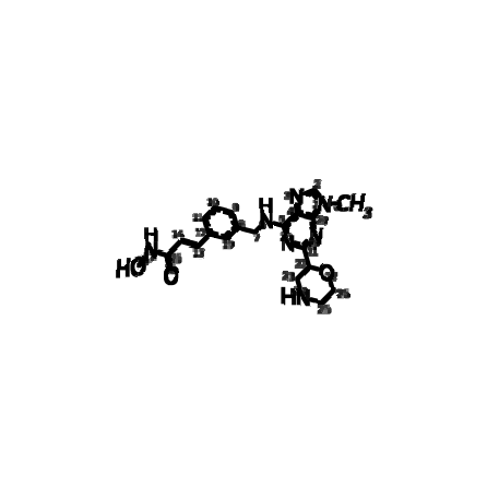 Cn1cnc2c(NCc3cccc(/C=C/C(=O)NO)c3)nc(C3CNCCO3)nc21